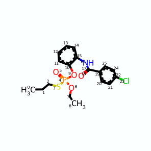 CCCSP(=O)(OCC)Oc1ccccc1NC(=O)c1ccc(Cl)cc1